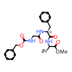 COC(=O)C(NC(=O)[C@H](Cc1ccccc1)NC(=O)CNC(=O)OCc1ccccc1)C(C)C